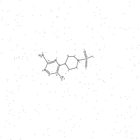 CS(=O)(=O)N1CCC(c2nc(N)ncc2C(F)(F)F)CC1